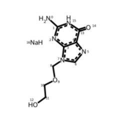 Nc1nc2c(ncn2COCCO)c(=O)[nH]1.[NaH]